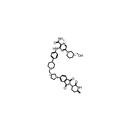 C=C1CCC(N2C(=O)c3ccc(N4CC[C@@H](CN5CCC(c6ccc(Nc7nc(N8CCC[C@@H](CO)C8)cnc7C(N)=O)cc6)CC5)C4)cc3C2=O)C(=O)N1